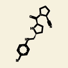 N#C[C@@H]1CCCN1C(=O)[C@H]1CC[C@H](CNc2ccc(Br)cc2)N1